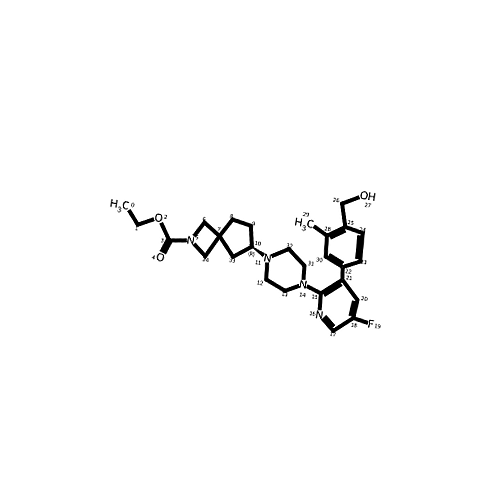 CCOC(=O)N1CC2(CC[C@@H](N3CCN(c4ncc(F)cc4-c4ccc(CO)c(C)c4)CC3)C2)C1